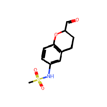 CS(=O)(=O)Nc1ccc2c(c1)CCC(C=O)O2